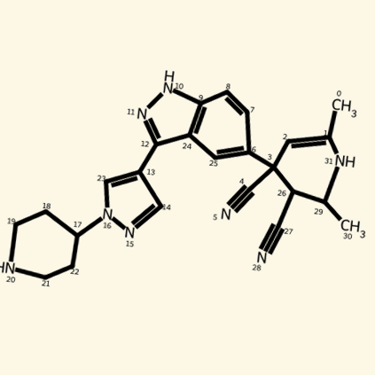 CC1=CC(C#N)(c2ccc3[nH]nc(-c4cnn(C5CCNCC5)c4)c3c2)C(C#N)C(C)N1